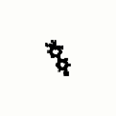 [2H]c1ccc(C2CNC([2H])([2H])CO2)cc1